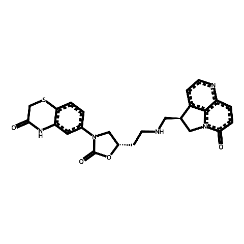 O=C1CSc2ccc(N3C[C@H](CCNC[C@@H]4Cn5c(=O)ccc6nccc4c65)OC3=O)cc2N1